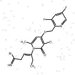 CC/C(=C\CC(=N)Br)n1c(C)cc(OCc2ncc(F)cc2F)c(Cl)c1=O